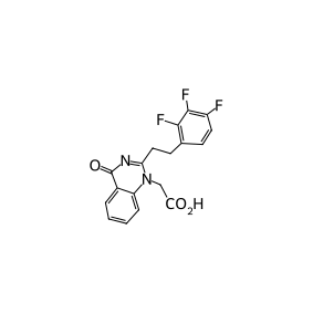 O=C(O)Cn1c(CCc2ccc(F)c(F)c2F)nc(=O)c2ccccc21